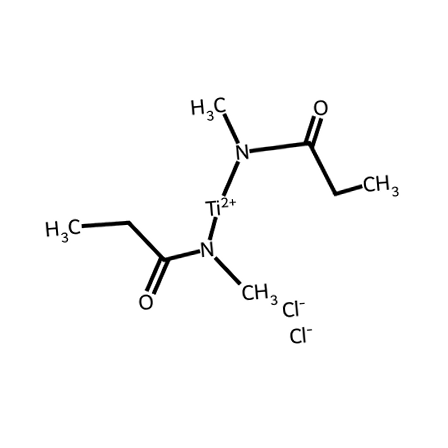 CCC(=O)[N](C)[Ti+2][N](C)C(=O)CC.[Cl-].[Cl-]